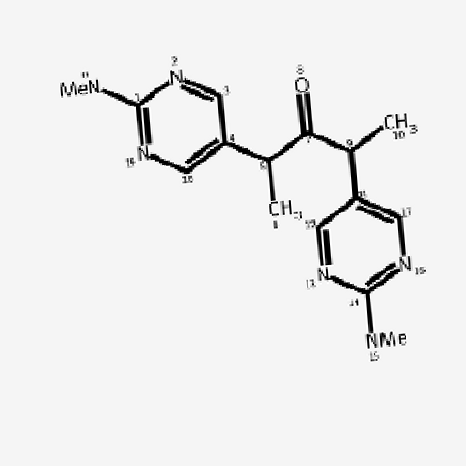 CNc1ncc(C(C)C(=O)C(C)c2cnc(NC)nc2)cn1